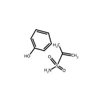 C=C(C)S(N)(=O)=O.Oc1ccccc1